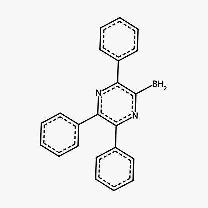 Bc1nc(-c2ccccc2)c(-c2ccccc2)nc1-c1ccccc1